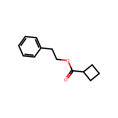 O=C(OCCc1ccccc1)C1CCC1